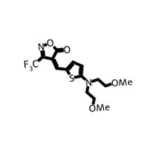 COCCN(CCOC)c1ccc(/C=C2\C(=O)ON=C2C(F)(F)F)s1